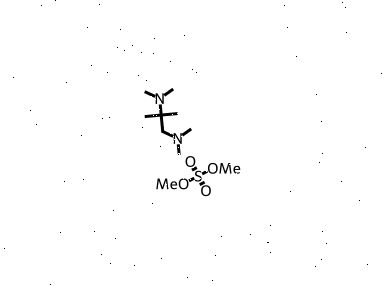 CN(C)CC(C)(C)N(C)C.COS(=O)(=O)OC